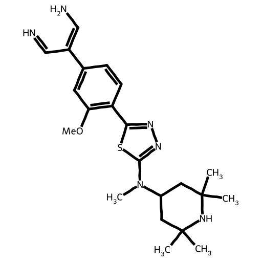 COc1cc(/C(C=N)=C/N)ccc1-c1nnc(N(C)C2CC(C)(C)NC(C)(C)C2)s1